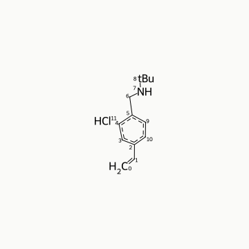 C=Cc1ccc(CNC(C)(C)C)cc1.Cl